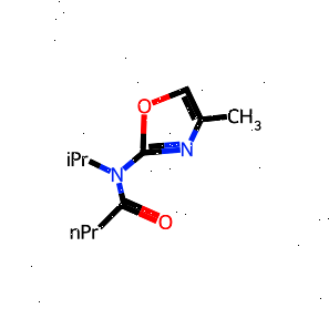 CCCC(=O)N(c1nc(C)co1)C(C)C